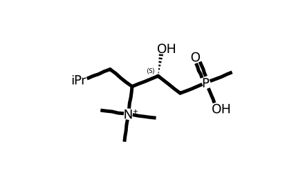 CC(C)CC([C@H](O)CP(C)(=O)O)[N+](C)(C)C